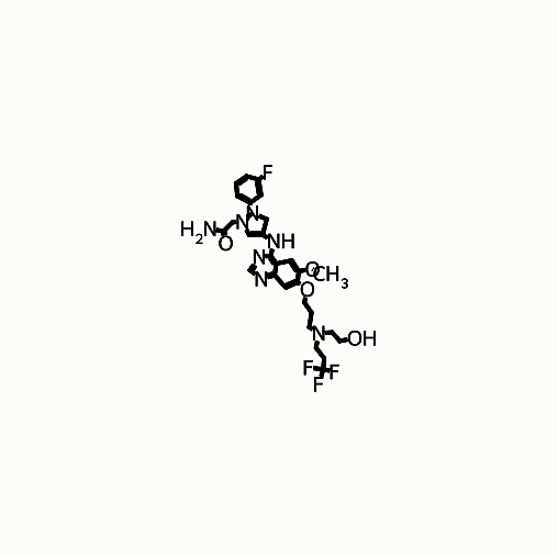 COc1cc2c(NC3=CN(CC(N)=O)N(c4cccc(F)c4)C3)ncnc2cc1OCCCN(CCO)CCC(F)(F)F